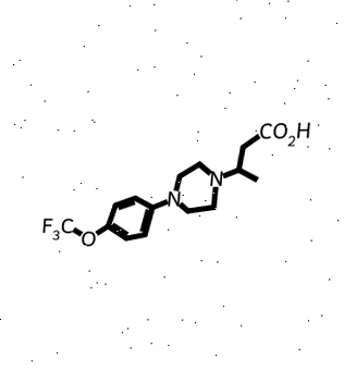 CC(CC(=O)O)N1CCN(c2ccc(OC(F)(F)F)cc2)CC1